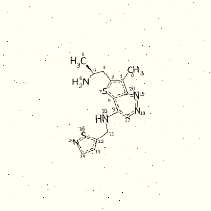 Cc1c(C[C@H](C)N)sc2c(NCc3ccns3)cnnc12